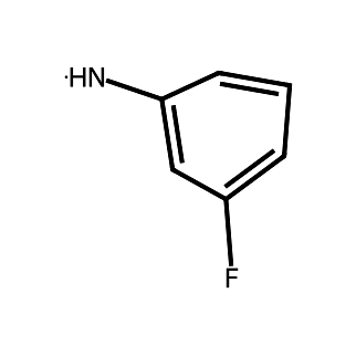 [NH]c1cccc(F)c1